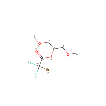 COCC(COC)OC(=O)C(F)(F)Br